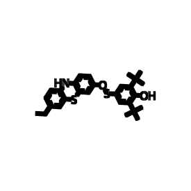 CCc1ccc2c(c1)Sc1cc(OSc3cc(C(C)(C)C)c(O)c(C(C)(C)C)c3)ccc1N2